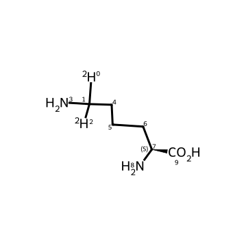 [2H]C([2H])(N)CCC[C@H](N)C(=O)O